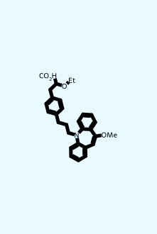 CCOC(Cc1ccc(CCCN2c3ccccc3C=C(OC)c3ccccc32)cc1)C(=O)O